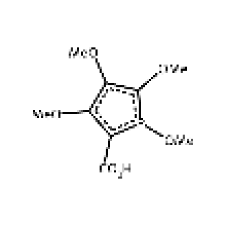 COc1c(OC)c(C(=O)O)p(OC)c1OC